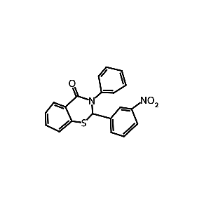 O=C1c2ccccc2SC(c2cccc([N+](=O)[O-])c2)N1c1ccccc1